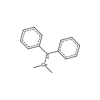 [CH3][Ge]([CH3])[SiH](c1ccccc1)c1ccccc1